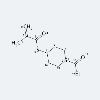 C=C(C)C(=O)SC1CC[S+](C(=O)CC)CC1